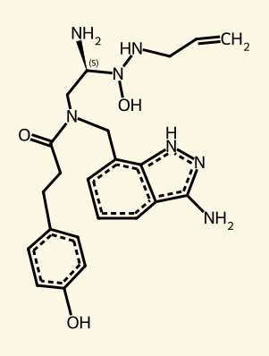 C=CCNN(O)[C@H](N)CN(Cc1cccc2c(N)n[nH]c12)C(=O)CCc1ccc(O)cc1